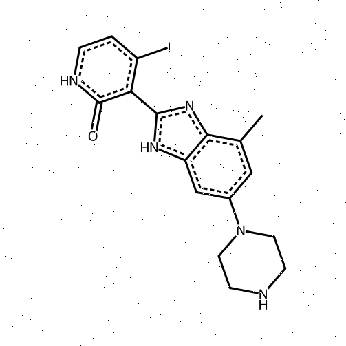 Cc1cc(N2CCNCC2)cc2[nH]c(-c3c(I)cc[nH]c3=O)nc12